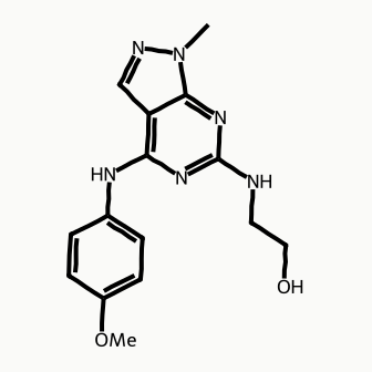 COc1ccc(Nc2nc(NCCO)nc3c2cnn3C)cc1